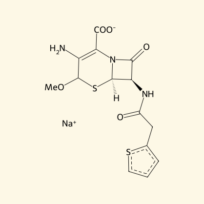 COC1S[C@@H]2[C@H](NC(=O)Cc3cccs3)C(=O)N2C(C(=O)[O-])=C1N.[Na+]